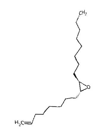 C=CCCCCCC[C@H]1O[C@@H]1CCCCCCCC